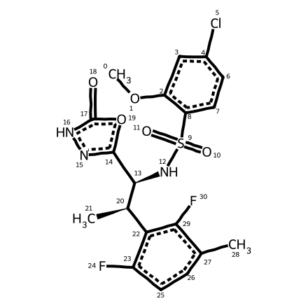 COc1cc(Cl)ccc1S(=O)(=O)N[C@H](c1n[nH]c(=O)o1)[C@H](C)c1c(F)ccc(C)c1F